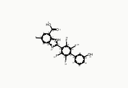 Cc1cc(C(=O)O)c2[nH]c(-c3c(F)c(F)c(-c4cccc(O)c4)c(F)c3F)nc2c1